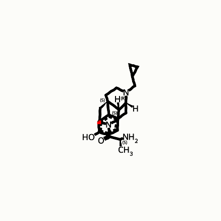 C[C@H](N)C(=O)N1CC[C@]23CCN(CC4CC4)[C@H](Cc4ccc(O)cc42)[C@@H]3C1